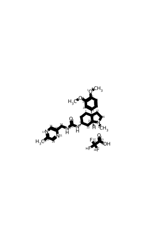 COc1ccc([C@@]23CC[C@@H](NC(=O)NCc4cnc(C)cn4)C[C@@H]2N(C)CC3)cc1OC.O=C(O)C(F)(F)F